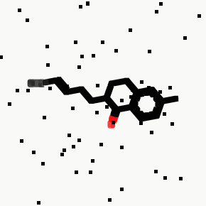 Cc1ccc2c(c1)CCC(CC/C=C/C=O)C2=O